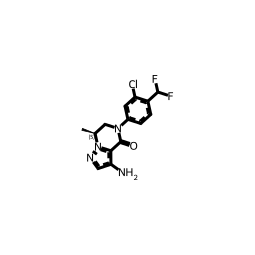 C[C@H]1CN(c2ccc(C(F)F)c(Cl)c2)C(=O)c2c(N)cnn21